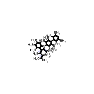 B/C(C)=C(B)/C(B)=c1\c(=C(\B)C)n(-c2c(B)c(B)c(-c3c(B)c(B)cc(B)c3B)c(B)c2B)c2c(B)c(B)c(B)c(B)c12